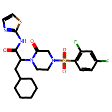 O=C(Nc1nccs1)C(CC1CCCCC1)N1CCN(S(=O)(=O)c2ccc(F)cc2F)CC1=O